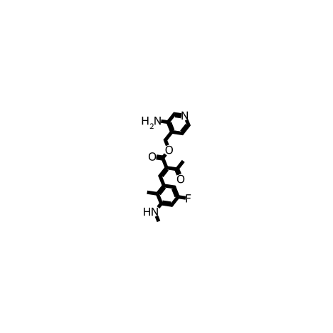 CNc1cc(F)cc(/C=C(\C(C)=O)C(=O)OCc2ccncc2N)c1C